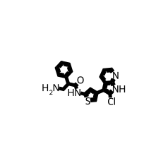 NCC(C(=O)Nc1cc(-c2c(Cl)[nH]c3ncccc23)cs1)c1ccccc1